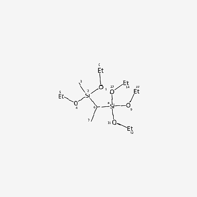 CCO[Si](C)(OCC)C(C)[Si](OCC)(OCC)OCC